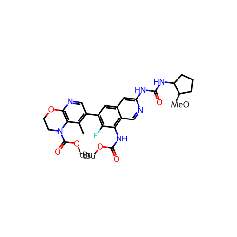 COC1CCCC1NC(=O)Nc1cc2cc(-c3cnc4c(c3C)N(C(=O)OC(C)(C)C)CCO4)c(F)c(NC(=O)OC(C)(C)C)c2cn1